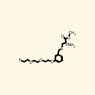 COC(=O)[C@H](N)CSCc1cccc(OCCOCCOCCF)c1